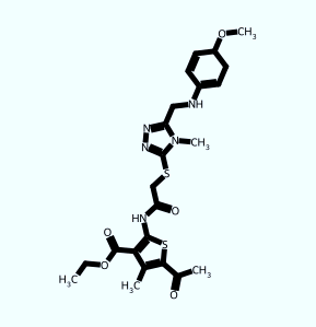 CCOC(=O)c1c(NC(=O)CSc2nnc(CNC3=CCC(OC)C=C3)n2C)sc(C(C)=O)c1C